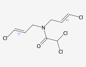 O=C(C(Cl)Cl)N(C/C=C/Cl)C/C=C/Cl